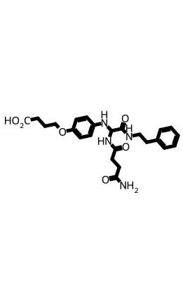 NC(=O)CCC(=O)NC(Nc1ccc(OCCCC(=O)O)cc1)C(=O)NCCc1ccccc1